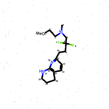 COCCN(C)CC(F)(F)CCc1ccc2c(n1)NCCC2